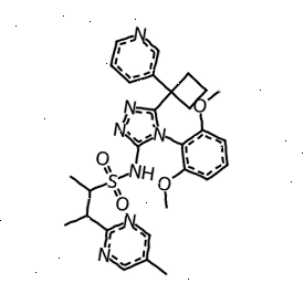 COc1cccc(OC)c1-n1c(NS(=O)(=O)C(C)C(C)c2ncc(C)cn2)nnc1C1(c2cccnc2)CCC1